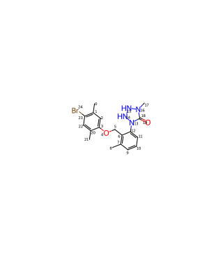 Cc1cc(OCc2c(C)cccc2N2NNN(C)C2=O)c(C)cc1Br